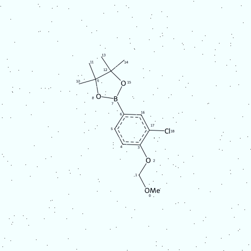 COCOc1ccc(B2OC(C)(C)C(C)(C)O2)cc1Cl